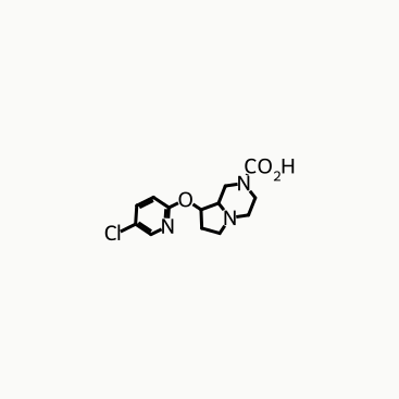 O=C(O)N1CCN2CCC(Oc3ccc(Cl)cn3)C2C1